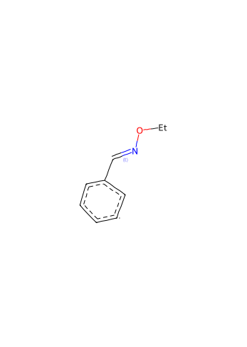 CCO/N=C/c1c[c]ccc1